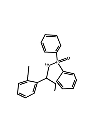 CCC(NP(=O)(c1ccccc1)c1ccccc1)c1ccccc1C